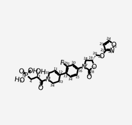 O=C([C@H](O)CP(=O)(O)O)N1CC=C(c2ccc(N3C[C@H](COc4ccon4)OC3=O)cc2F)CC1